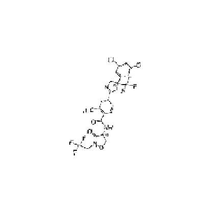 Cc1cc(C2=NC[C@@](c3cc(Cl)cc(Cl)c3)(C(F)(F)F)C2)ccc1C(=O)N[C@@H]1CON(CC(F)(F)F)C1=O